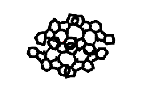 c1ccc(-n2c3ccccc3c3ccc4c5ccccc5n(-c5cc(-c6cc(-n7c8ccccc8c8ccc9c%10ccccc%10n(-c%10ccccc%10)c9c87)cc(-n7c8ccccc8c8ccc9c%10ccccc%10n(-c%10ccccc%10)c9c87)c6)cc(-n6c7ccccc7c7ccc8c9ccccc9n(-c9ccccc9)c8c76)c5)c4c32)cc1